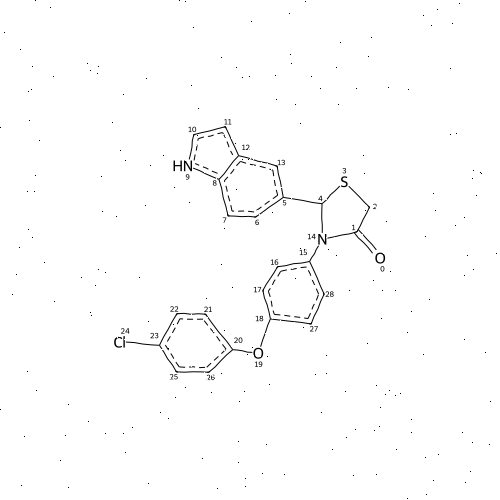 O=C1CSC(c2ccc3[nH]ccc3c2)N1c1ccc(Oc2ccc(Cl)cc2)cc1